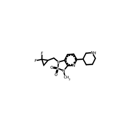 CN1c2nc(C3CCCNC3)ccc2N(CC2CC2(F)F)S1(=O)=O